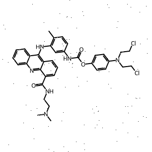 Cc1ccc(NC(=O)Oc2ccc(N(CCCl)CCCl)cc2)cc1Nc1c2ccccc2nc2c(C(=O)NCCN(C)C)cccc12